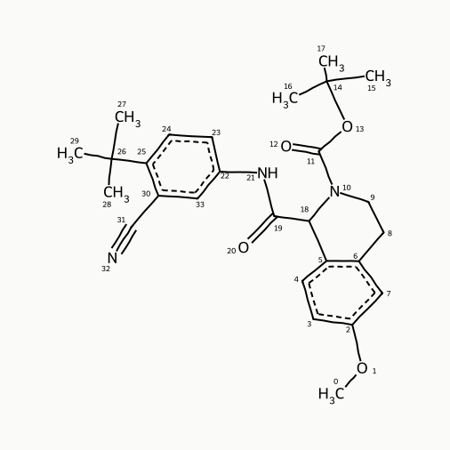 COc1ccc2c(c1)CCN(C(=O)OC(C)(C)C)C2C(=O)Nc1ccc(C(C)(C)C)c(C#N)c1